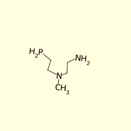 CN(CCN)CCP